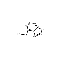 NCc1ncnc2[nH]cnc12